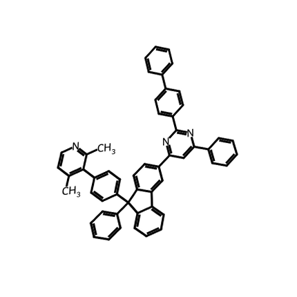 Cc1ccnc(C)c1-c1ccc(C2(c3ccccc3)c3ccccc3-c3cc(-c4cc(-c5ccccc5)nc(-c5ccc(-c6ccccc6)cc5)n4)ccc32)cc1